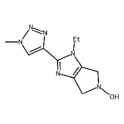 CCn1c(-c2cn(C)nn2)nc2c1CN(O)C2